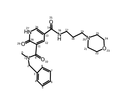 CN(Cc1ccccc1)C(=O)c1cc(C(=O)NCCCN2CCOCC2)c[nH]c1=O